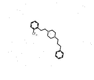 FC(F)(F)c1ccccc1CCN1CCN(CCCc2ccccc2)CC1